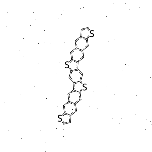 c1cc2cc3cc4sc5cc6c(cc5c4cc3cc2s1)sc1cc2cc3ccsc3cc2cc16